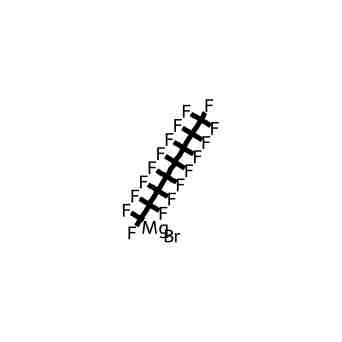 FC(F)(F)C(F)(F)C(F)(F)C(F)(F)C(F)(F)C(F)(F)C(F)(F)[C](F)(F)[Mg][Br]